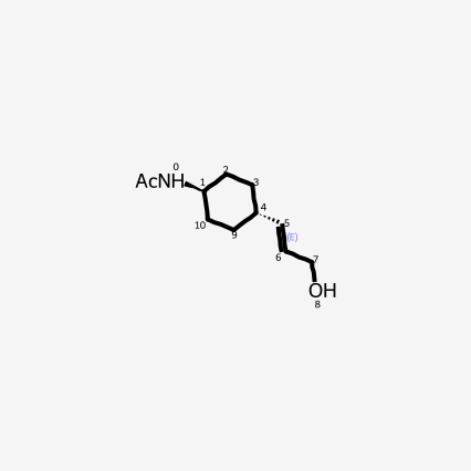 CC(=O)N[C@H]1CC[C@H](/C=C/CO)CC1